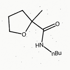 CCCCNC(=O)C1(C)CCCO1